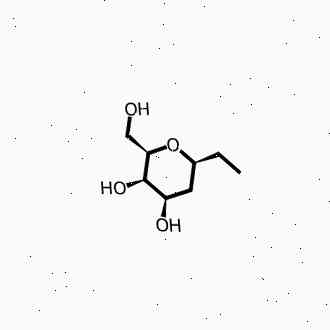 CC[C@H]1C[C@@H](O)[C@@H](O)[C@@H](CO)O1